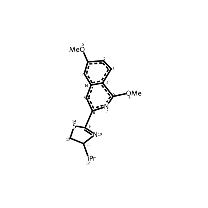 COc1ccc2c(OC)nc(C3=NC(C(C)C)CS3)cc2c1